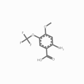 COc1cc(N)c(C(=O)O)cc1OC(F)(F)F